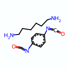 NCCCCCCN.O=C=Nc1ccc(N=C=O)cc1